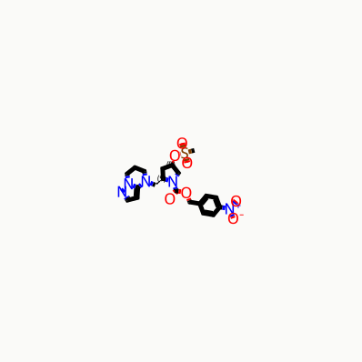 CS(=O)(=O)O[C@@H]1C[C@@H](CN2CCCn3nccc32)N(C(=O)OCc2ccc([N+](=O)[O-])cc2)C1